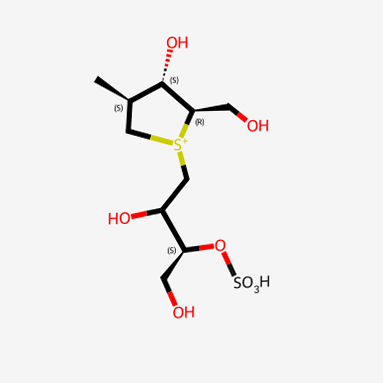 C[C@@H]1C[S+](CC(O)[C@H](CO)OS(=O)(=O)O)[C@H](CO)[C@H]1O